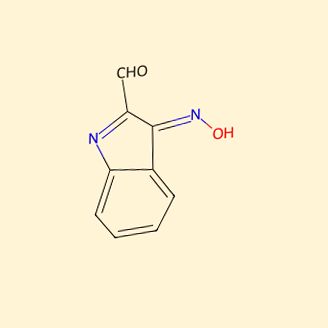 O=CC1=Nc2ccccc2C1=NO